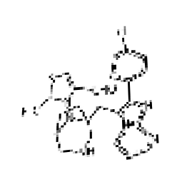 O=CC1=CSC(C(F)(F)F)N1N1C2CCC1(Cc1c(-c3ccc(Cl)cc3)nc3ncccn13)CNC2